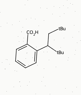 CC(C)(C)CC(c1ccccc1C(=O)O)C(C)(C)C